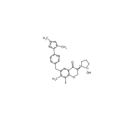 Cc1cn(C)nc1-c1ccc(Cc2cc3c(c(F)c2C)OCN([C@H]2CCC[C@@H]2O)C3=O)cn1